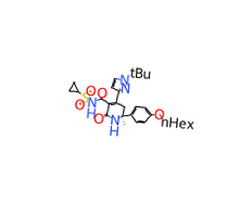 CCCCCCOc1ccc([C@]2(C)CC(c3ccn(C(C)(C)C)n3)=C(C(=O)NS(=O)(=O)C3CC3)C(=O)N2)cc1